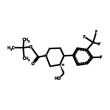 CC(C)(C)OC(=O)N1CCC(c2ccc(F)c(C(F)(F)F)c2)[C@H](CO)C1